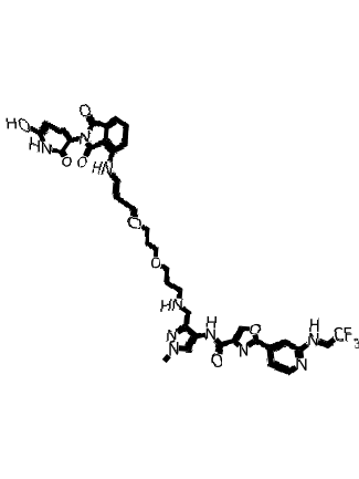 Cn1cc(NC(=O)c2coc(-c3ccnc(NCC(F)(F)F)c3)n2)c(CNCCCOCCCOCCCNc2cccc3c2C(=O)N(C2CCC(O)NC2=O)C3=O)n1